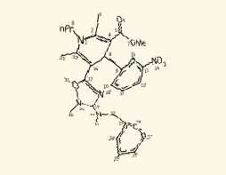 CCCN1C(C)=C(C(=O)OC)C(c2cccc([N+](=O)[O-])c2)C(C2=NC(N(C)Cc3ccccc3)N(C)O2)=C1C